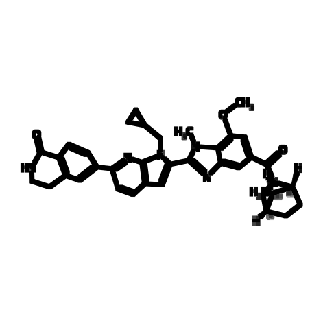 COc1cc(C(=O)N2C[C@H]3CC[C@@H]2[C@@H]3N)cc2nc(-c3cc4ccc(-c5ccc6c(c5)CCNC6=O)nc4n3CC3CC3)n(C)c12